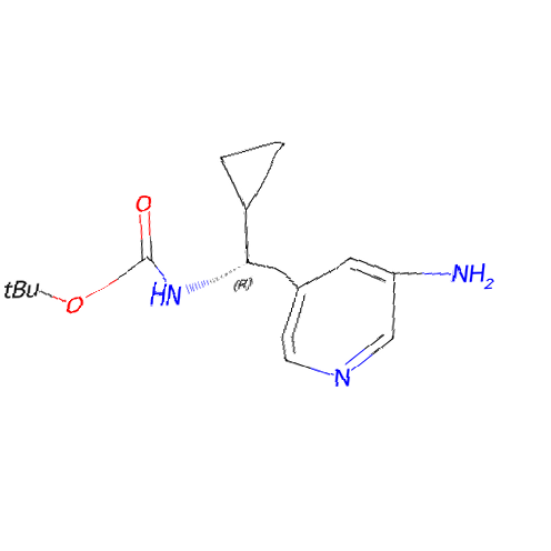 CC(C)(C)OC(=O)N[C@@H](c1cncc(N)c1)C1CC1